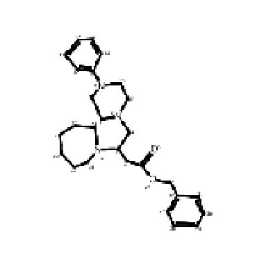 O=C(CC(CN1CCN(c2ccccc2)CC1)N1CCCCCC1)OCc1ccccc1